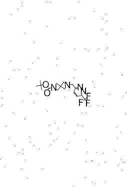 CC(C)(C)OC(=O)N1CC2(CN(Cc3ccc(C(F)(F)F)nn3)C2)C1